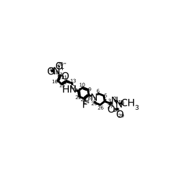 Cn1nc(C2CCN(c3ccc(NCc4ccc([N+](=O)[O-])o4)cc3F)CC2)oc1=O